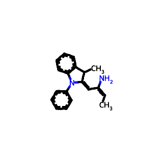 C/C=C(N)\C=C1/C(C)c2ccccc2N1c1ccccc1